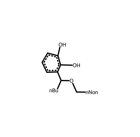 CCCCCCCCCCOC(CCCC)c1cccc(O)c1O